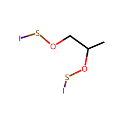 CC(COSI)OSI